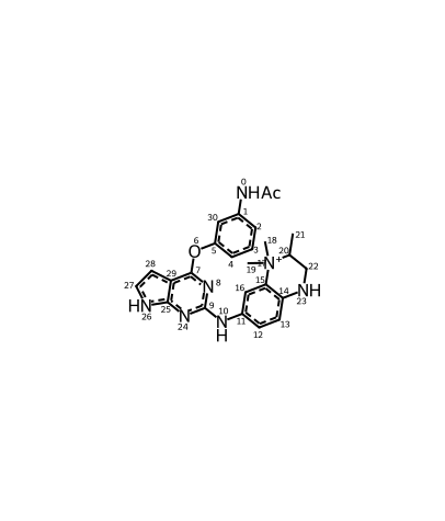 CC(=O)Nc1cccc(Oc2nc(Nc3ccc4c(c3)[N+](C)(C)C(C)CN4)nc3[nH]ccc23)c1